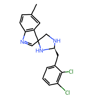 Cc1ccc2c(c1)C1(C=N2)CN[C@@H](Cc2cccc(Cl)c2Cl)N1